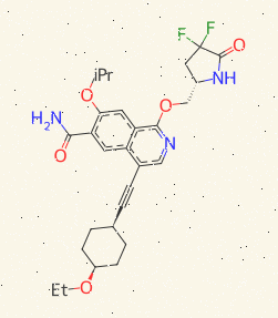 CCO[C@H]1CC[C@@H](C#Cc2cnc(OC[C@@H]3CC(F)(F)C(=O)N3)c3cc(OC(C)C)c(C(N)=O)cc23)CC1